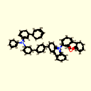 c1ccc(-c2cccc(N(c3ccccc3)c3cccc(-c4ccc(-c5ccc6c(c5)c5ccccc5n6-c5cccc6c5oc5ccccc56)cc4)c3)c2)cc1